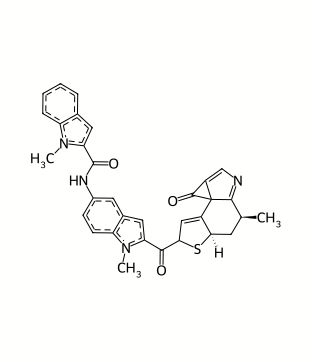 C[C@H]1C[C@H]2SC(C(=O)c3cc4cc(NC(=O)c5cc6ccccc6n5C)ccc4n3C)C=C2C23C(=O)C2=CN=C13